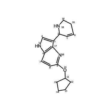 C1=CC(c2c[nH]c3ccc(OC4CCCC4)nc23)NCC1